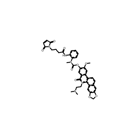 COc1cc2c(cc1OC(=O)N(C)c1ccccc1NC(=O)CCCN1C(=O)C=CC1=O)c(=O)n(CCN(C)C)c1c3cc4c(cc3ccc21)OCO4